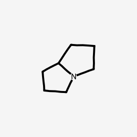 C1CC2CCCN2C1